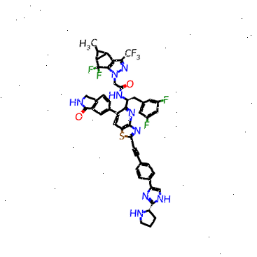 CC1C2c3c(C(F)(F)F)nn(CC(=O)N[C@@H](Cc4cc(F)cc(F)c4)c4nc5nc(C#Cc6ccc(-c7c[nH]c([C@@H]8CCCN8)n7)cc6)sc5cc4-c4ccc5c(c4)C(=O)NC5)c3C(F)(F)C12